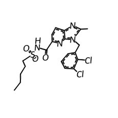 CCCCCS(=O)(=O)NC(=O)c1ccc2nc(C)n(Cc3cccc(Cl)c3Cl)c2n1